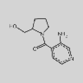 Nc1cnccc1C(=O)N1CCCC1CO